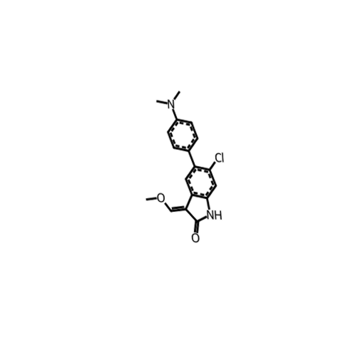 CO/C=C1/C(=O)Nc2cc(Cl)c(-c3ccc(N(C)C)cc3)cc21